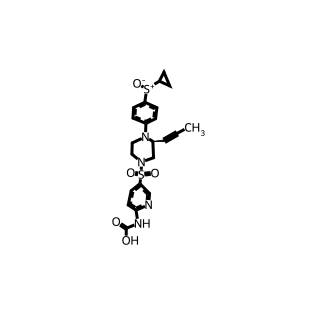 CC#C[C@H]1CN(S(=O)(=O)c2ccc(NC(=O)O)nc2)CCN1c1ccc([S+]([O-])C2CC2)cc1